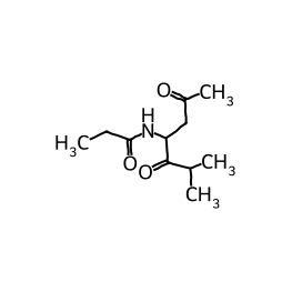 CCC(=O)NC(CC(C)=O)C(=O)C(C)C